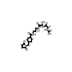 CC(C)C(=O)N[C@H](C)C(=O)N[C@@H](C(=O)NCCCNC(=O)C1CCC(CN2C(=O)C=CC2=O)CC1)C(C)C